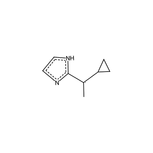 C[C](c1ncc[nH]1)C1CC1